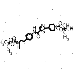 CC(C)(C)OC(=O)NCCc1ccc(NC(=O)c2cnc(C3=CCN(C(=O)OC(C)(C)C)CC3)s2)cc1